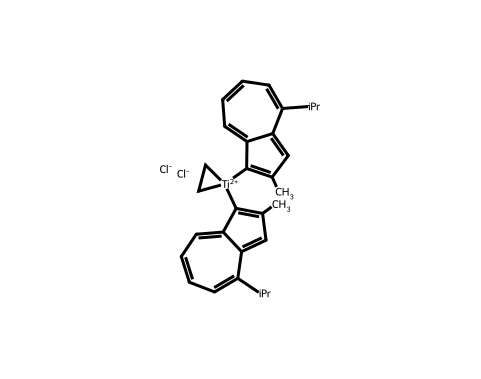 Cc1cc2c(C(C)C)ccccc-2[c]1[Ti+2]1([c]2c(C)cc3c(C(C)C)ccccc2-3)[CH2][CH2]1.[Cl-].[Cl-]